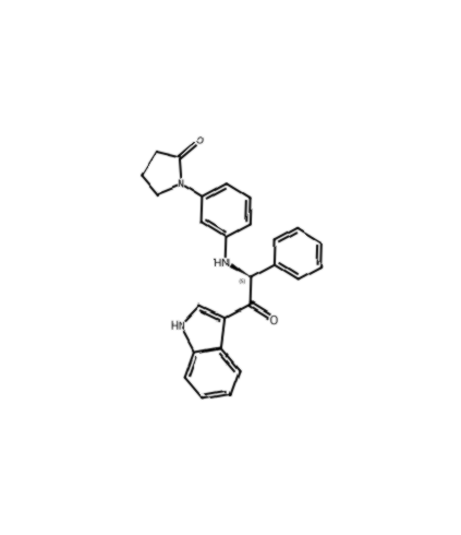 O=C(c1c[nH]c2ccccc12)[C@@H](Nc1cccc(N2CCCC2=O)c1)c1ccccc1